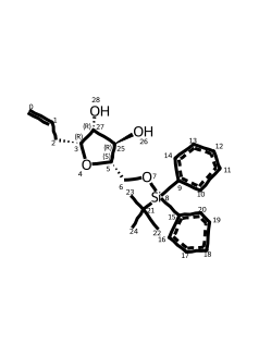 C=CC[C@H]1O[C@@H](CO[Si](c2ccccc2)(c2ccccc2)C(C)(C)C)[C@H](O)[C@H]1O